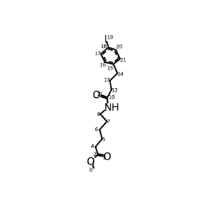 COC(=O)CCCCCNC(=O)CCCc1ccc(I)cc1